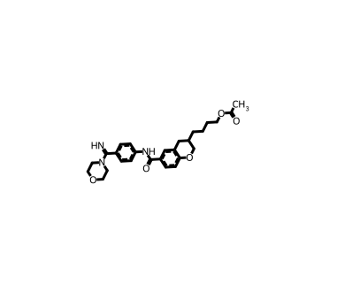 CC(=O)OCCCCC1COc2ccc(C(=O)Nc3ccc(C(=N)N4CCOCC4)cc3)cc2C1